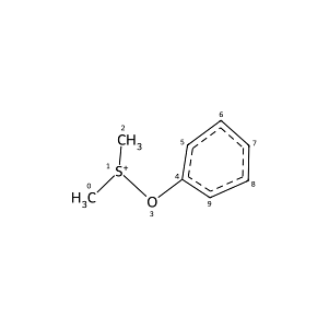 C[S+](C)Oc1ccccc1